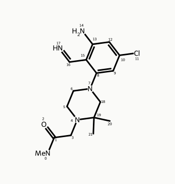 CNC(=O)CN1CCN(c2cc(Cl)cc(N)c2C=N)CC1(C)C